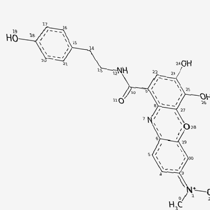 C[N+](C)=c1ccc2nc3c(C(=O)NCCc4ccc(O)cc4)cc(O)c(O)c3oc-2c1